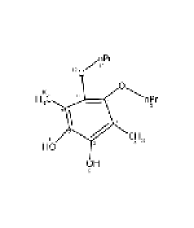 CCCOc1c(C)c(O)c(O)c(C)c1OCCC